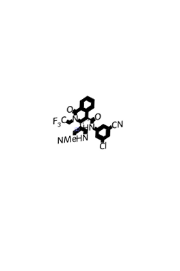 CN/C=C(\C=N)[C@H]1[C@H](C(=O)Nc2cc(Cl)cc(C#N)c2)c2ccccc2C(=O)N1CC(F)(F)F